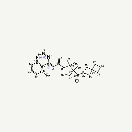 C=C(/C=C(\N=N/C)c1c(F)cccc1F)C1CCC(C)(C(=O)N2CC3(CCC3)C2)C1(C)C